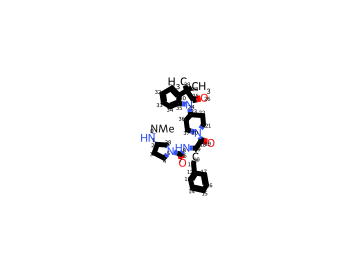 CNN[C@H]1CCN(C(=O)N[C@@H](CCc2ccccc2)C(=O)N2CCC(N3C(=O)C(C)(C)c4ccccc43)CC2)C1